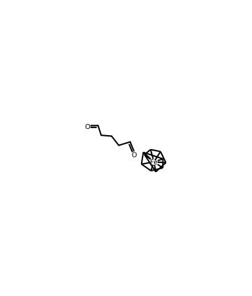 O=CCCCC=O.[CH]12[CH]3[CH]4[CH]5[CH]1[Fe]23451678[CH]2[CH]1[CH]6[CH]7[CH]28